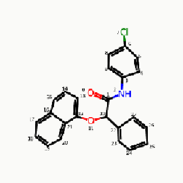 O=C(Nc1ccc(Cl)cc1)C(Oc1cccc2ccccc12)c1ccccc1